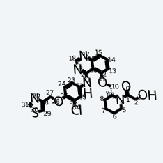 O=C(CO)N1CCCC[C@@H]1COc1cccc2ncnc(Nc3ccc(OCc4cscn4)c(Cl)c3)c12